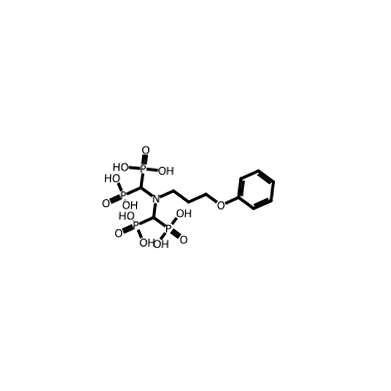 O=P(O)(O)C(N(CCCOc1ccccc1)C(P(=O)(O)O)P(=O)(O)O)P(=O)(O)O